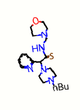 CCCCN1CCN(C(C(=S)NCN2CCOCC2)c2ccccn2)CC1